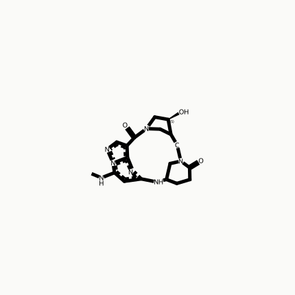 CNc1cc2nc3c(cnn13)C(=O)N1CC(CN3CC(CCC3=O)N2)[C@H](O)C1